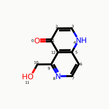 O=c1cc[nH]c2ccnc(CO)c12